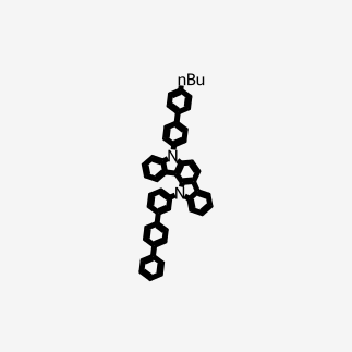 CCCCc1ccc(-c2ccc(-n3c4ccccc4c4c3ccc3c5ccccc5n(-c5cccc(-c6ccc(-c7ccccc7)cc6)c5)c34)cc2)cc1